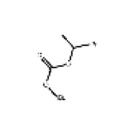 CCC(C)OC(=O)OC(C)C(C)C